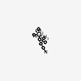 CC[C@H]1C(c2ccccc2)CC[C@@H](C)C(c2ccc3c(c2)C(c2ccccc2)(c2ccccc2)c2cc(-c4ccc(C#N)cc4)ccc2-3)NC1c1ccccc1